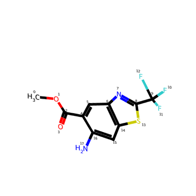 COC(=O)c1cc2nc(C(F)(F)F)sc2cc1N